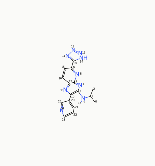 CC(C)N(C)c1nc2nc(-c3nnn[nH]3)ccc2nc1-c1cccnc1